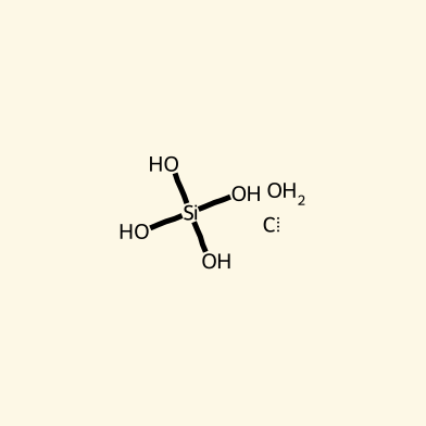 O.O[Si](O)(O)O.[C]